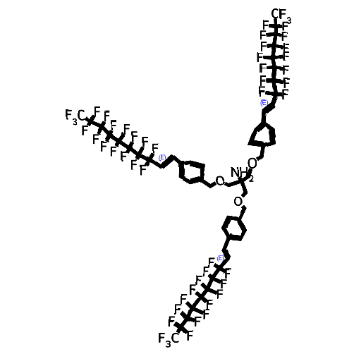 NC(COCc1ccc(/C=C/C(F)(F)C(F)(F)C(F)(F)C(F)(F)C(F)(F)C(F)(F)C(F)(F)C(F)(F)F)cc1)(COCc1ccc(/C=C/C(F)(F)C(F)(F)C(F)(F)C(F)(F)C(F)(F)C(F)(F)C(F)(F)C(F)(F)F)cc1)COCc1ccc(/C=C/C(F)(F)C(F)(F)C(F)(F)C(F)(F)C(F)(F)C(F)(F)C(F)(F)C(F)(F)F)cc1